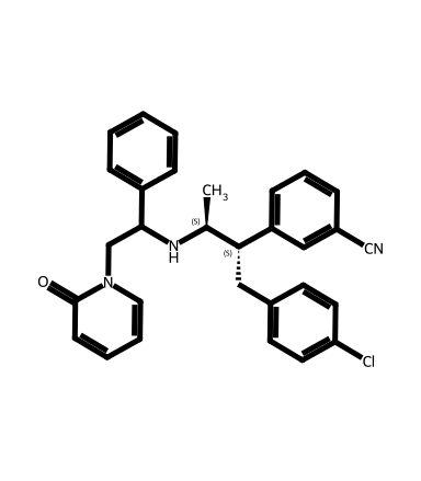 C[C@H](NC(Cn1ccccc1=O)c1ccccc1)[C@@H](Cc1ccc(Cl)cc1)c1cccc(C#N)c1